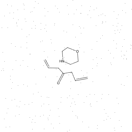 C1COCCN1.C=CCC(=O)CC=C